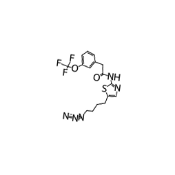 [N-]=[N+]=NCCCCc1cnc(NC(=O)Cc2cccc(OC(F)(F)F)c2)s1